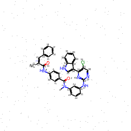 CN(C(=O)c1ccc(NC(=O)/C(C#N)=C\c2ccccc2)cc1)c1cccc(Nc2ncc(Cl)c(-c3c[nH]c4ccccc34)n2)c1